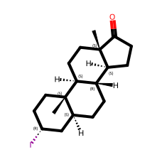 C[C@]12CC[C@@H](I)C[C@@H]1CC[C@@H]1[C@@H]2CC[C@]2(C)C(=O)CC[C@@H]12